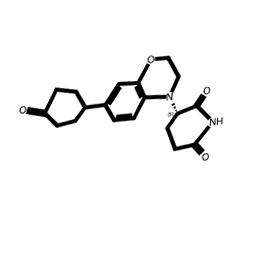 O=C1CCC(c2ccc3c(c2)OCCN3[C@H]2CCC(=O)NC2=O)CC1